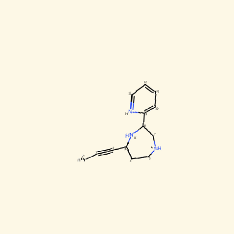 CCCC#CC1CCNCC(c2ccccn2)N1